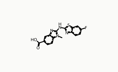 Cn1c(Nc2nc3ccc(F)cc3s2)nc2cc(C(=O)O)ccc21